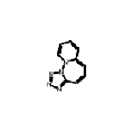 C1=CC2=CC=Cc3nnnn3N2C=C1